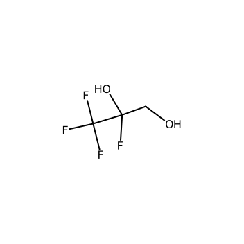 OCC(O)(F)C(F)(F)F